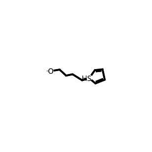 [O]CCCC[SH]1C=CC=C1